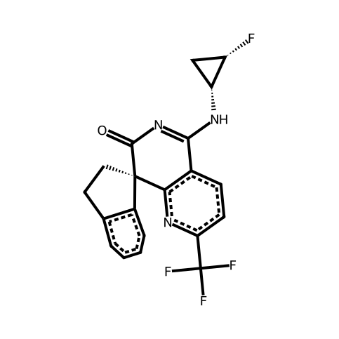 O=C1N=C(N[C@@H]2C[C@@H]2F)c2ccc(C(F)(F)F)nc2[C@]12CCc1ccccc12